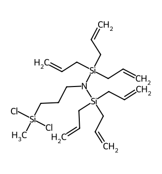 C=CC[Si](CC=C)(CC=C)N(CCC[Si](C)(Cl)Cl)[Si](CC=C)(CC=C)CC=C